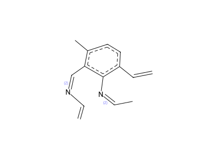 C=C/N=C\c1c(C)ccc(C=C)c1/N=C\C